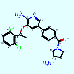 CC(Oc1cc(-c2ccc(C(=O)N3CC[C@H](N)C3)cc2)cnc1N)c1c(Cl)cccc1Cl